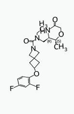 CCN(C[C@H]1NC(=O)CO[C@H]1C)C(=O)N1CC2(CC(Oc3ccc(F)cc3F)C2)C1